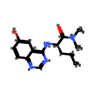 C[Se]C[C@H](Nc1ncnc2ccc(Br)cc12)C(=O)N(C)C